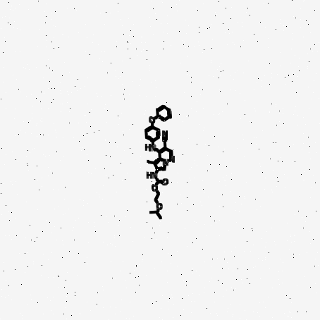 Cc1c(NC(=O)OCCOC(C)C)cn2ncc(C#N)c(Nc3ccc(Oc4ccccc4)cc3)c12